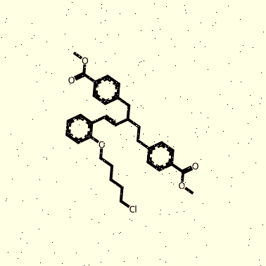 COC(=O)c1ccc(CCC(/C=C/c2ccccc2OCCCCCCl)Cc2ccc(C(=O)OC)cc2)cc1